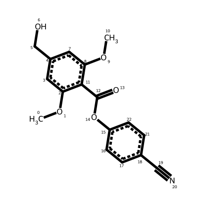 COc1cc(CO)cc(OC)c1C(=O)Oc1ccc(C#N)cc1